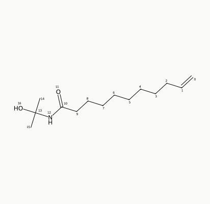 C=CCCCCCCCCC(=O)NC(C)(C)O